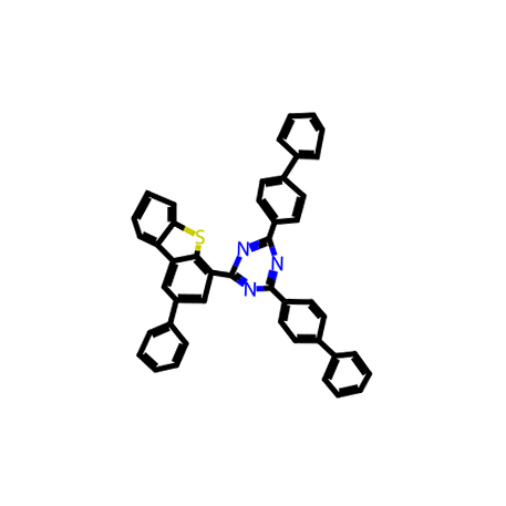 c1ccc(-c2ccc(-c3nc(-c4ccc(-c5ccccc5)cc4)nc(-c4cc(-c5ccccc5)cc5c4sc4ccccc45)n3)cc2)cc1